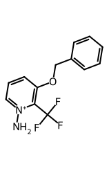 N[n+]1cccc(OCc2ccccc2)c1C(F)(F)F